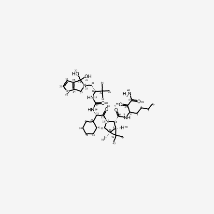 CCCCC(NC(=O)[C@@H]1[C@@H]2[C@H](CN1C(=O)[C@@H](NC(=O)N[C@H](CN1Cc3sccc3C1(O)O)C(C)(C)C)C1CCCCC1)C2(C)C)C(=O)C(N)=O